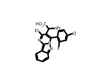 CCCC(C(=O)O)c1c(CC)nc2c3ccccc3nn2c1-c1ccc(Cl)cc1F